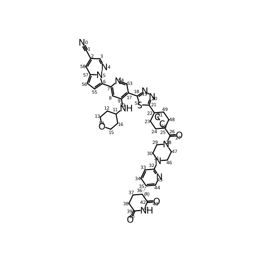 N#Cc1cnn2c(-c3cc(NC4CCOCC4)c(-c4nnc(C56CCC(C(=O)N7CCN(c8ccc([C@H]9CCC(=O)NC9=O)cn8)CC7)(CC5)CC6)s4)cn3)ccc2c1